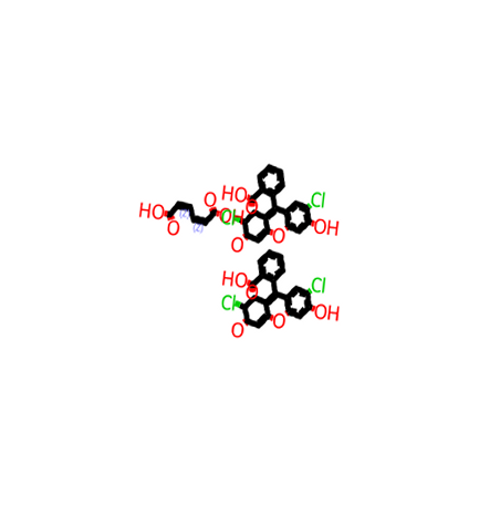 O=C(O)/C=C\C=C/C(=O)O.O=C(O)c1ccccc1C1=C2CC(Cl)C(=O)C=C2Oc2cc(O)c(Cl)cc21.O=C(O)c1ccccc1C1=C2CC(Cl)C(=O)C=C2Oc2cc(O)c(Cl)cc21